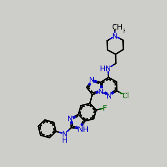 CN1CCC(CNc2cc(Cl)nn3c(-c4cc5nc(Nc6ccccc6)[nH]c5cc4F)cnc23)CC1